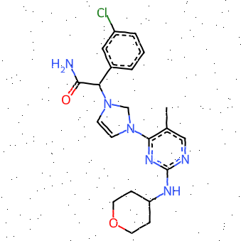 Cc1cnc(NC2CCOCC2)nc1N1C=CN(C(C(N)=O)c2cccc(Cl)c2)C1